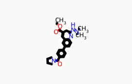 CCOC(=O)C1=Cc2cc(-c3ccc(C(=O)N4CCCC4)cc3)ccc2N=C(NN(C)C)C1